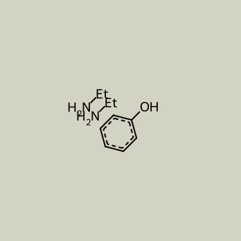 CCN.CCN.Oc1ccccc1